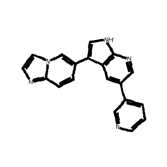 c1cncc(-c2cnc3[nH]cc(-c4ccc5nccn5c4)c3c2)c1